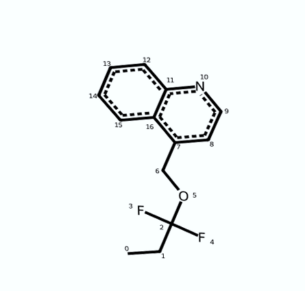 CCC(F)(F)OCc1ccnc2ccccc12